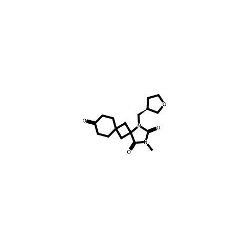 CN1C(=O)N(C[C@H]2CCOC2)C2(CC3(CCC(=O)CC3)C2)C1=O